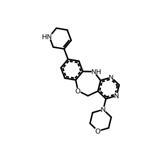 C1=C(c2ccc3c(c2)Nc2ncnc(N4CCOCC4)c2CO3)CNCC1